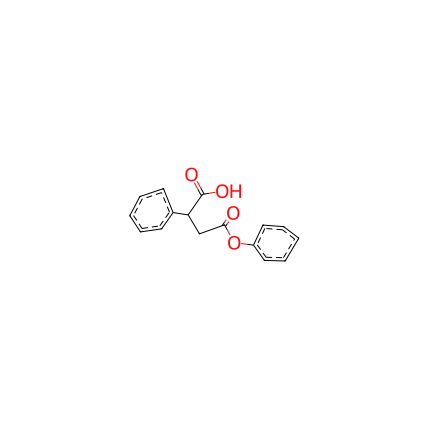 O=C(CC(C(=O)O)c1ccccc1)Oc1ccccc1